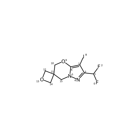 FC(F)c1nn2c(c1I)OCC1(COC1)C2